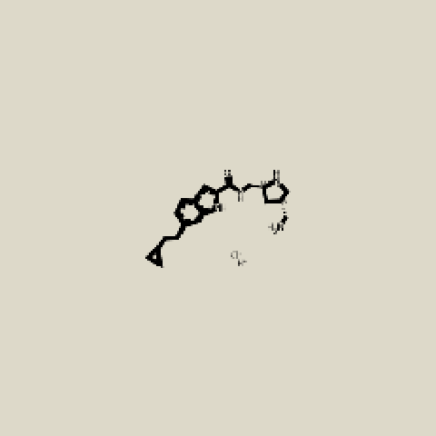 NC[C@H]1CN[C@H](CNC(=O)c2cc3ccc(CCC4CC4)cc3[nH]2)C1.[Cl-].[H+]